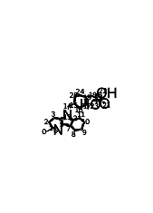 Cc1ccc2c(n1)c1ccccc1n2Cc1ccc(CP(=O)(O)O)cc1